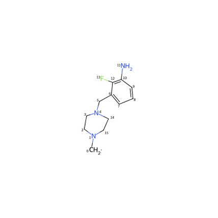 [CH2]N1CCN(Cc2cccc(N)c2F)CC1